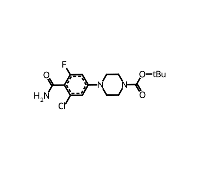 CC(C)(C)OC(=O)N1CCN(c2cc(F)c(C(N)=O)c(Cl)c2)CC1